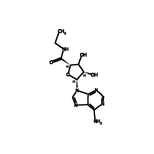 CCNC(=O)[C@H]1O[C@@H](n2cnc3c(N)ncnc32)[C@@H](O)C1O